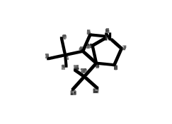 CC(C)(C)C1CN2CCC1(C(C)(C)C)C2